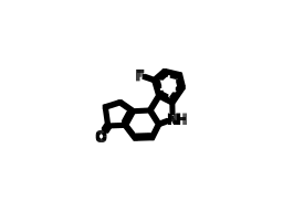 O=C1CCC2=C1C=CC1Nc3cccc(F)c3C21